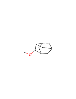 COC1C2CC3CC(C2)C1C3